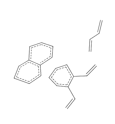 C=CC=C.C=Cc1ccccc1C=C.c1ccc2ccccc2c1